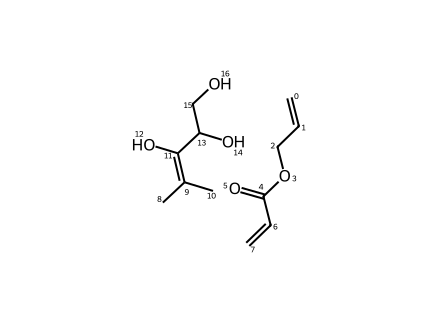 C=CCOC(=O)C=C.CC(C)=C(O)C(O)CO